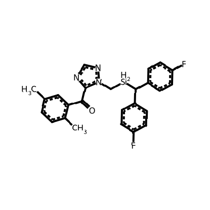 Cc1ccc(C)c(C(=O)c2ncnn2C[SiH2]C(c2ccc(F)cc2)c2ccc(F)cc2)c1